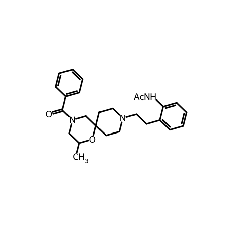 CC(=O)Nc1ccccc1CCN1CCC2(CC1)CN(C(=O)c1ccccc1)CC(C)O2